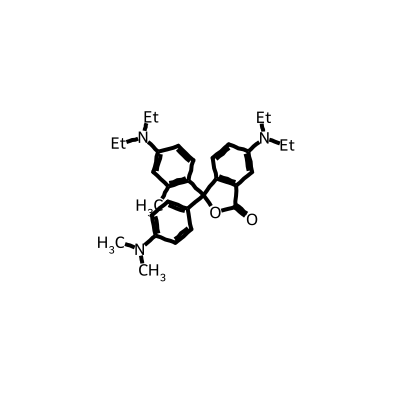 CCN(CC)c1ccc(C2(c3ccc(N(C)C)cc3)OC(=O)c3cc(N(CC)CC)ccc32)c(C)c1